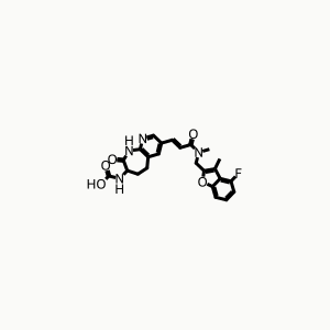 Cc1c(CN(C)C(=O)C=Cc2cnc3c(c2)CCC(NC(=O)O)C(=O)N3)oc2cccc(F)c12